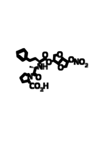 C[C@H](N[C@@H](CCc1ccccc1)C(=O)O[C@H]1COC2C(O[N+](=O)[O-])COC21)C(=O)N1CCCC1C(=O)O